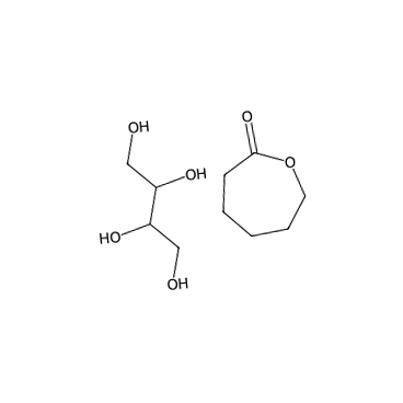 O=C1CCCCCO1.OCC(O)C(O)CO